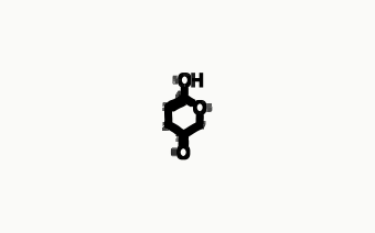 O=C1CC=C(O)OC1